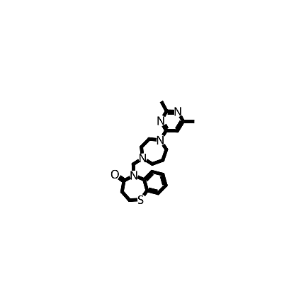 Cc1cc(N2CCCN(CN3C(=O)CCSc4ccccc43)CC2)nc(C)n1